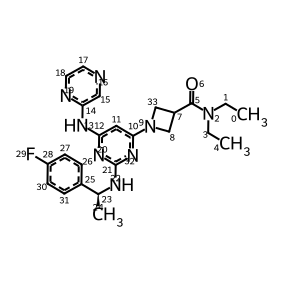 CCN(CC)C(=O)C1CN(c2cc(Nc3cnccn3)nc(N[C@@H](C)c3ccc(F)cc3)n2)C1